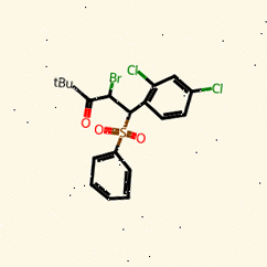 CC(C)(C)C(=O)C(Br)C(c1ccc(Cl)cc1Cl)S(=O)(=O)c1ccccc1